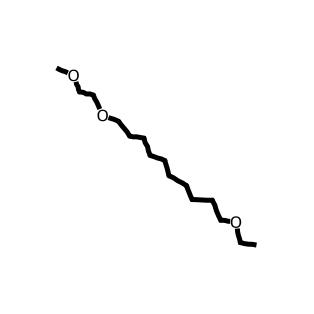 CCOCCCCCCCCCCOCCOC